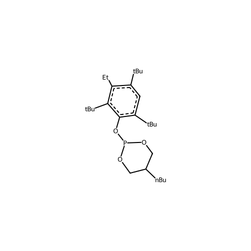 CCCCC1COP(Oc2c(C(C)(C)C)cc(C(C)(C)C)c(CC)c2C(C)(C)C)OC1